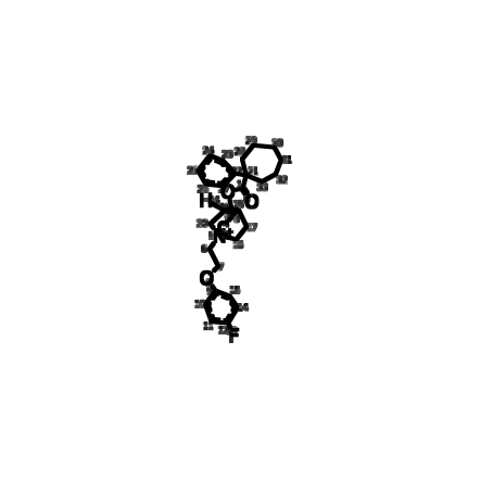 O=C(O[C@H]1C[N+]2(CCOc3ccc(F)cc3)CCC1CC2)C1(c2ccccc2)CCCCCC1